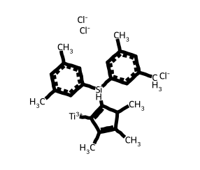 CC1=C(C)C(C)C([SiH](c2cc(C)cc(C)c2)c2cc(C)cc(C)c2)=[C]1[Ti+3].[Cl-].[Cl-].[Cl-]